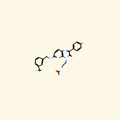 CC(=O)NCCn1c(=O)c(-c2ccc(F)cc2)nc2ccc(NCc3cccc(C(F)(F)F)c3)nc21